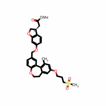 COC(=O)C[C@@H]1COc2cc(OCc3ccc4c(c3)-c3c(C)cc(OCCCS(C)(=O)=O)cc3CCO4)ccc21